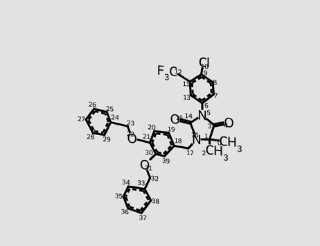 CC1(C)C(=O)N(c2ccc(Cl)c(C(F)(F)F)c2)C(=O)N1Cc1ccc(OCc2ccccc2)c(OCc2ccccc2)c1